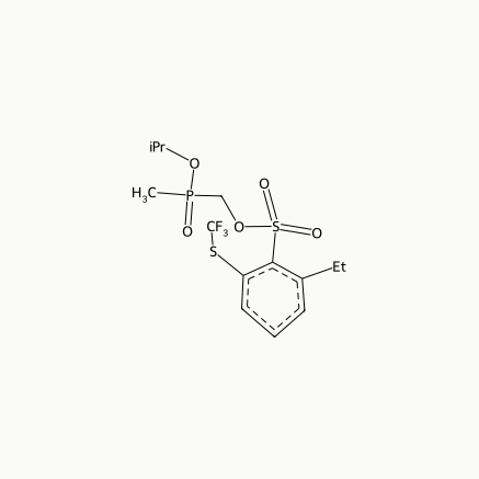 CCc1cccc(SC(F)(F)F)c1S(=O)(=O)OCP(C)(=O)OC(C)C